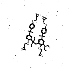 CCC(CC)c1cc(C(C)(C)c2ccc(OCC3CO3)cc2)cc(CC(CC)(CC)c2cc(C(C)(C)c3ccc(OCC4CO4)cc3)ccc2OCC2CO2)c1OCC1CO1